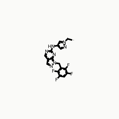 [CH2][CH]n1cc(Nc2ncc3cnn(Cc4c(F)c(F)cc(F)c4F)c3n2)cn1